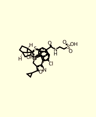 O=C(NCCS(=O)(=O)O)c1cc(F)c2nc([C@@]3(O)[C@@H]4CC[C@H]3C[C@@H](OCc3c(-c5c(Cl)cccc5Cl)noc3C3CC3)C4)sc2c1